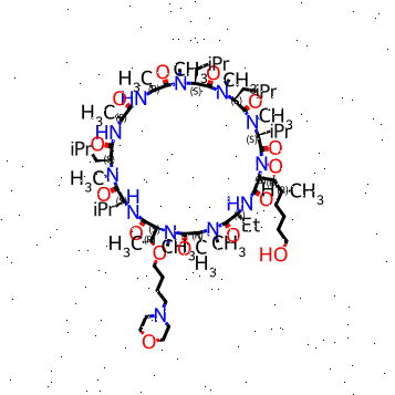 CC[C@@H]1NC(=O)[C@@H]2[C@@H]([C@H](C)CCCCO)ON2C(=O)[C@H](C(C)C)N(C)C(=O)[C@H](CC(C)C)N(C)C(=O)[C@H](CC(C)C)N(C)C(=O)[C@@H](C)NC(=O)[C@H](C)NC(=O)[C@H](CC(C)C)N(C)C(=O)[C@H](C(C)C)NC(=O)[C@H]([C@@H](C)OCCCCN2CCOCC2)N(C)C(=O)[C@@H](C)N(C)C1=O